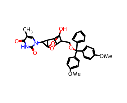 COc1ccc(C(OCC2C3OC45OC2(O)C3C4C5n2cc(C)c(=O)[nH]c2=O)(c2ccccc2)c2ccc(OC)cc2)cc1